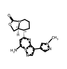 Cn1cc(-c2cnn3c(N)cc([C@H]4CCCN5C(=O)OC[C@H]45)nc23)cn1